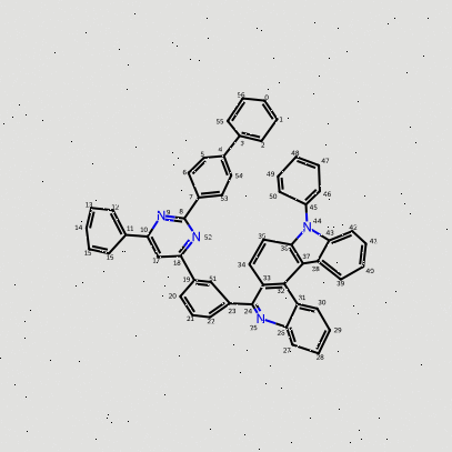 c1ccc(-c2ccc(-c3nc(-c4ccccc4)cc(-c4cccc(-c5nc6ccccc6c6c5ccc5c6c6ccccc6n5-c5ccccc5)c4)n3)cc2)cc1